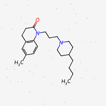 CCCCC1CCN(CCCN2C(=O)CCc3cc(C)ccc32)CC1